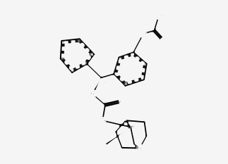 O=C(O)Oc1cccc([C@@H](NC(=O)O[C@H]2CN3CCC2CC3)c2ccccc2)c1